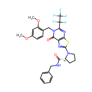 COc1ccc(Cn2c(C(F)(F)C(F)(F)F)nc3sc(N4CCC[C@@H]4C(=O)NCc4ccccc4)nc3c2=O)c(OC)c1